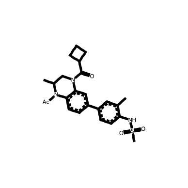 CC(=O)N1c2ccc(-c3ccc(NS(C)(=O)=O)c(C)c3)cc2N(C(=O)C2CCC2)CC1C